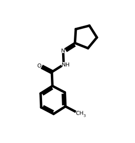 Cc1cccc(C(=O)NN=C2CCCC2)c1